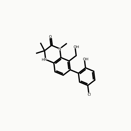 CN1C(=O)C(C)(C)Nc2ccc(-c3cc(Cl)ccc3O)c(CO)c21